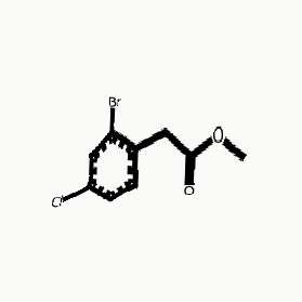 COC(=O)Cc1ccc(Cl)cc1Br